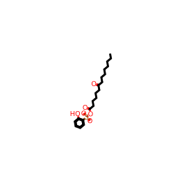 CCCCCCCCC(=O)CCCCCC(=O)OS(=O)(=O)c1ccccc1O